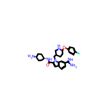 N=C(N)c1ccc2cc(C(=O)N[C@H]3CC[C@H](N)CC3)n(CC3CCC(Oc4ccc(F)cc4)NC3)c2c1